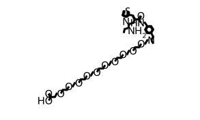 CCC(N)C1=Nc2ccsc2C=C(C(=O)NCc2ccc(CN(C)CCOCCOCCOCCOCCOCCOCCOCCOCCOCCOCCC(=O)O)cc2)C1